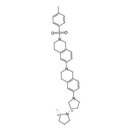 Cc1ccc(S(=O)(=O)N2CCc3cc(N4CCc5cc(N6CC[C@H](N7CCC[C@@H]7C)C6)ccc5C4)ccc3C2)cc1